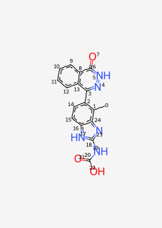 Cc1c(-c2n[nH]c(=O)c3ccccc23)ccc2[nH]c(NC(=O)O)nc12